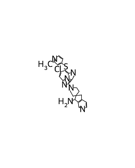 Cc1nccc(Sc2ccc3nc(N4CCC5(CC4)Cc4ccncc4[C@H]5N)c4cnc2n34)c1Cl